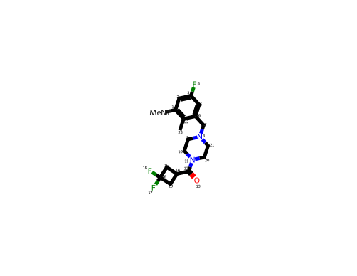 CNc1cc(F)cc(CN2CCN(C(=O)C3CC(F)(F)C3)CC2)c1C